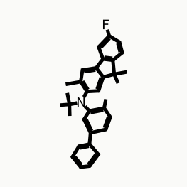 Cc1ccc(-c2ccccc2)cc1N(c1cc2c(cc1C)-c1cc(F)ccc1C2(C)C)C(C)(C)C